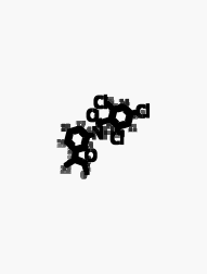 Cc1oc2c(NC(=O)c3c(Cl)cc(Cl)cc3Cl)cccc2c1C